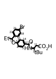 CCC(Oc1ccc(C(=O)N[C@@H](CC(=O)O)C(C)(C)C)cc1)c1ccc(Br)cc1